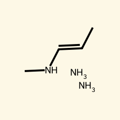 C/C=C/NC.N.N